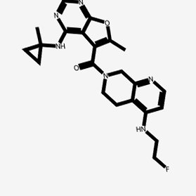 Cc1oc2ncnc(NC3(C)CC3)c2c1C(=O)N1CCc2c(NCCF)ccnc2C1